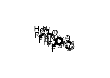 NC[C@H](NC(=O)C(F)F)C(=O)Nc1ccc(N2CCOCC2=O)cc1C(F)F